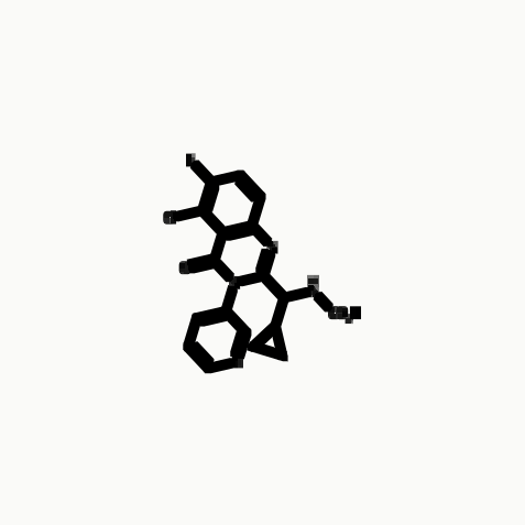 O=C(O)NC(c1nc2ccc(F)c(Cl)c2c(=O)n1-c1cccnc1)C1CC1